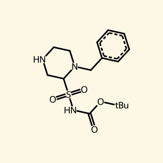 CC(C)(C)OC(=O)NS(=O)(=O)C1CNCCN1Cc1ccccc1